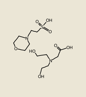 O=C(O)CN(CCO)CCO.O=S(=O)(O)CCN1CCOCC1